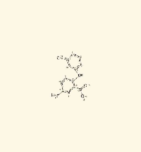 Cc1ncc(Oc2cccc(Cl)c2)c(C(=O)O)n1